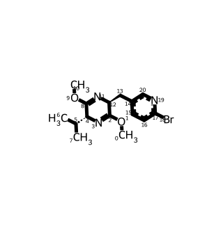 COC1=N[C@H](C(C)C)C(OC)=N[C@H]1Cc1ccc(Br)nc1